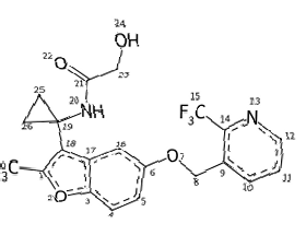 Cc1oc2ccc(OCc3cccnc3C(F)(F)F)cc2c1C1(NC(=O)CO)CC1